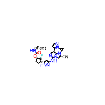 CCCCCNC(=O)O[C@H]1CC[C@@H](c2cc(Nc3ncc(-c4ccnn4C4CC4)c4nc(C#N)cn34)n[nH]2)[C@@H]1F